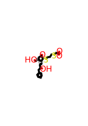 COC(=O)CSCCCSC1C(=O)C[C@@H](CO)[C@@H]1C=CC(O)Cc1ccccc1